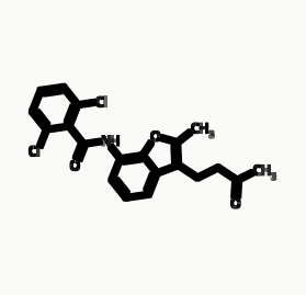 CC(=O)CCc1c(C)oc2c(NC(=O)c3c(Cl)cccc3Cl)cccc12